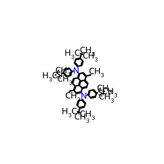 CCc1cc(N(c2ccc(C(C)(C)C)cc2)c2ccc([Si](C)(C)C)cc2)c2ccc3c(CC)cc(N(c4ccc(C(C)(C)C)cc4)c4ccc([Si](C)(C)C)cc4)c4ccc1c2c34